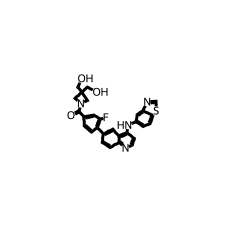 O=C(c1ccc(-c2ccc3nccc(Nc4ccc5scnc5c4)c3c2)c(F)c1)N1CC(CO)(CO)C1